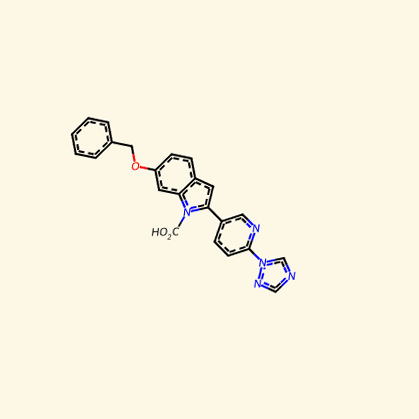 O=C(O)n1c(-c2ccc(-n3cncn3)nc2)cc2ccc(OCc3ccccc3)cc21